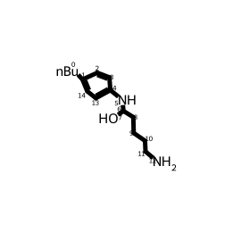 CCCCc1ccc(NC(O)CCCCN)cc1